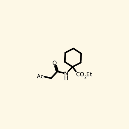 CCOC(=O)C1(NC(=O)CC(C)=O)CCCCC1